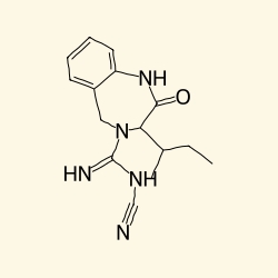 CCC(C)C1C(=O)Nc2ccccc2CN1C(=N)NC#N